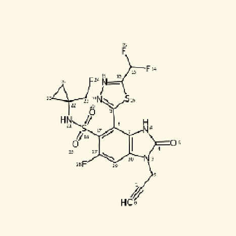 C#CCn1c(=O)[nH]c2c(-c3nnc(C(F)F)s3)c(S(=O)(=O)NC3(CF)CC3)c(F)cc21